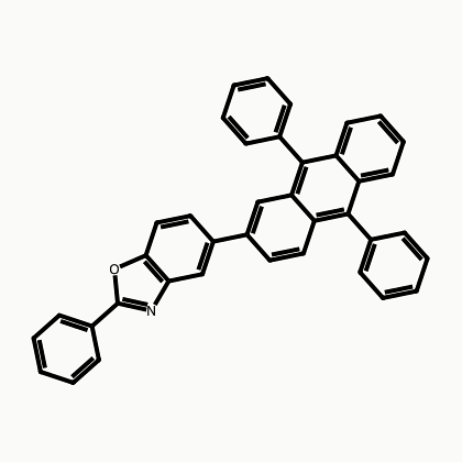 c1ccc(-c2nc3cc(-c4ccc5c(-c6ccccc6)c6ccccc6c(-c6ccccc6)c5c4)ccc3o2)cc1